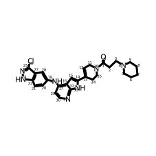 O=C(CCN1CCCCC1)N1CC=C(c2cc3c(Nc4ccc5[nH]nc(Cl)c5c4)ccnc3[nH]2)CC1